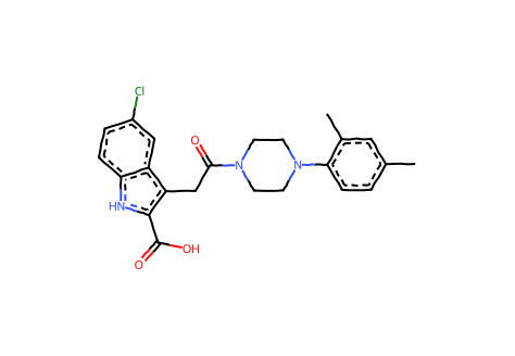 Cc1ccc(N2CCN(C(=O)Cc3c(C(=O)O)[nH]c4ccc(Cl)cc34)CC2)c(C)c1